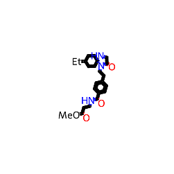 CCC1CCC2(CC1)NCC(=O)N2CCc1ccc(C(=O)NCCC(=O)OC)cc1